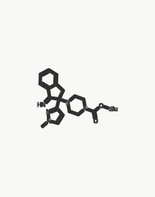 Cn1ccc(C2(N3CCN(C(=O)OC(C)(C)C)CC3)Cc3ccccc3C2=N)n1